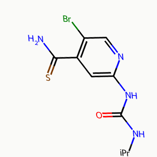 CC(C)NC(=O)Nc1cc(C(N)=S)c(Br)cn1